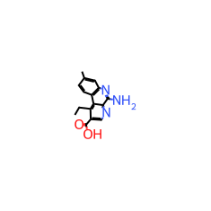 CCc1c(C(=O)O)cnc2c(N)nc3cc(C)ccc3c12